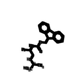 CC(C)C(CN[C@@H](C)C(=O)O)NC(=O)OCC1c2ccccc2-c2ccccc21